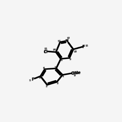 COc1ccc(F)cc1-c1cc(F)ncc1Cl